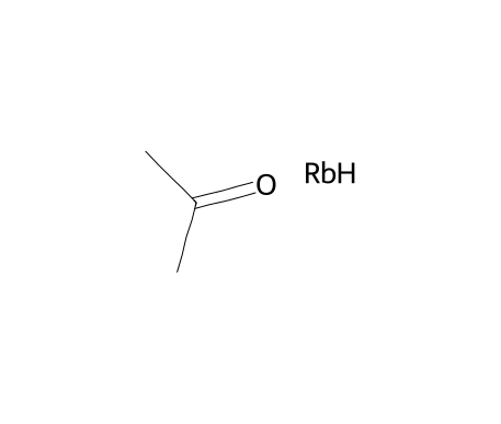 CC(C)=O.[RbH]